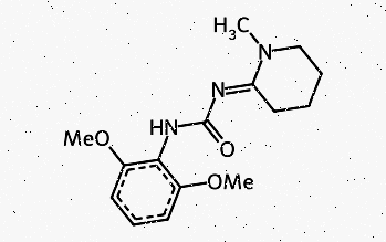 COc1cccc(OC)c1NC(=O)N=C1CCCCN1C